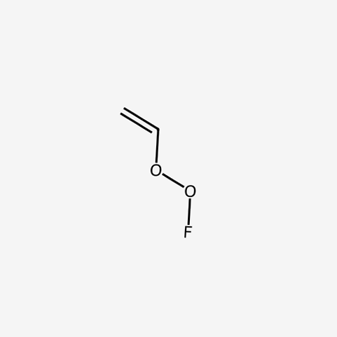 C=COOF